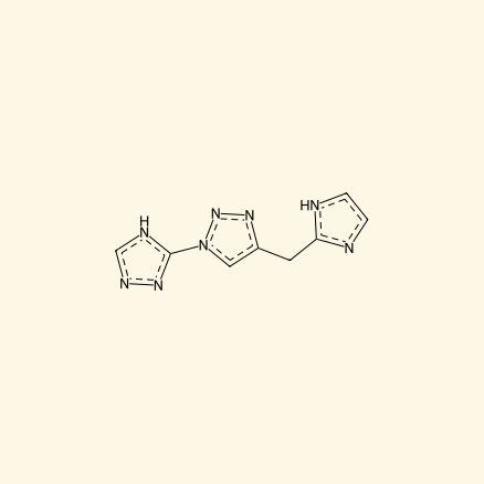 c1c[nH]c(Cc2cn(-c3nnc[nH]3)nn2)n1